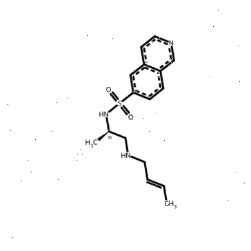 CC=CCNC[C@@H](C)NS(=O)(=O)c1ccc2cnccc2c1